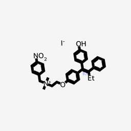 CC/C(=C(/c1ccc(O)cc1)c1ccc(OCC[N+](C)(C)Cc2ccc([N+](=O)[O-])cc2)cc1)c1ccccc1.[I-]